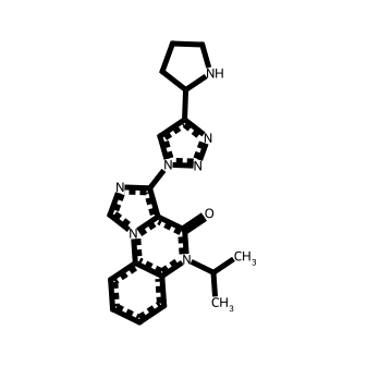 CC(C)n1c(=O)c2c(-n3cc(C4CCCN4)nn3)ncn2c2ccccc21